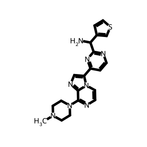 CN1CCN(c2nccn3c(-c4ccnc(C(N)c5ccsc5)n4)cnc23)CC1